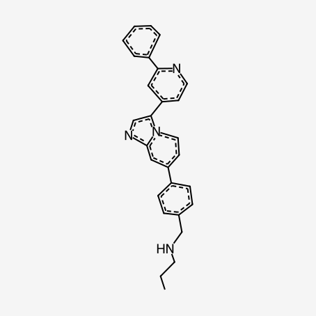 CCCNCc1ccc(-c2ccn3c(-c4ccnc(-c5ccccc5)c4)cnc3c2)cc1